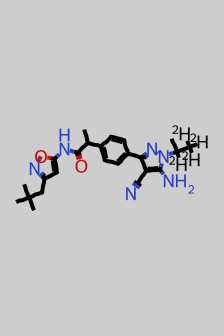 [2H]C([2H])([2H])C([2H])(C)n1nc(-c2ccc(C(C)C(=O)Nc3cc(CC(C)(C)C)no3)cc2)c(C#N)c1N